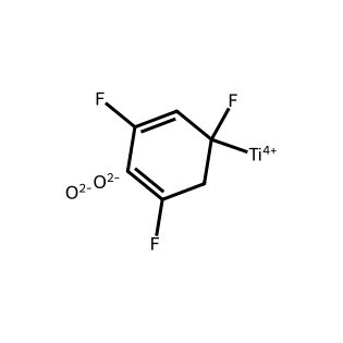 FC1=C[C](F)([Ti+4])CC(F)=C1.[O-2].[O-2]